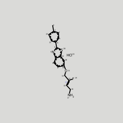 Cc1ccc(-c2nc3ccc(OC/C(F)=C/CN)cc3s2)cc1.Cl